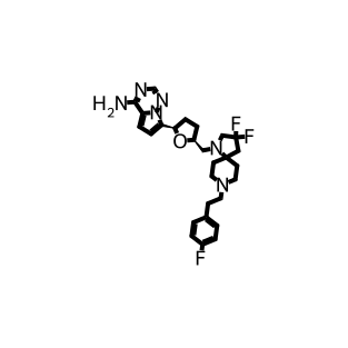 Nc1ncnn2c([C@H]3CC[C@@H](CN4CC(F)(F)CC45CCN(CCc4ccc(F)cc4)CC5)O3)ccc12